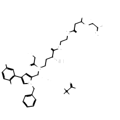 CC(C)(C)[C@H](c1cc(-c2cc(F)ccc2F)cn1Cc1ccccc1)N(CC[C@H](N)C(=O)NCCNC(=O)CC(SC[C@H](N)C(=O)O)C(=O)O)C(=O)CO.O=C(O)C(F)(F)F